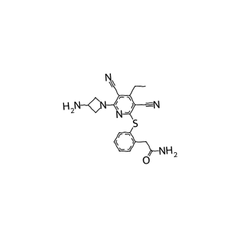 CCc1c(C#N)c(Sc2ccccc2CC(N)=O)nc(N2CC(N)C2)c1C#N